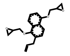 C=CCc1ccc2c(OCC3CO3)cccc2c1OCC1CO1